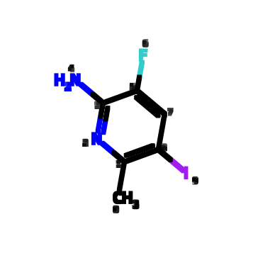 Cc1nc(N)c(F)cc1I